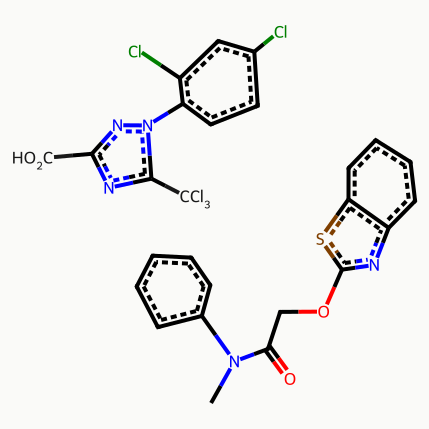 CN(C(=O)COc1nc2ccccc2s1)c1ccccc1.O=C(O)c1nc(C(Cl)(Cl)Cl)n(-c2ccc(Cl)cc2Cl)n1